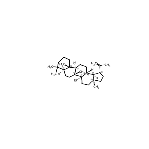 C=C(C)[C@@H]1CC[C@]2(C)CC[C@]3(CC)[C@H](CC[C@@H]4[C@@]5(C)CCCC(C)(C)[C@@H]5CC[C@]43C)[C@@H]12